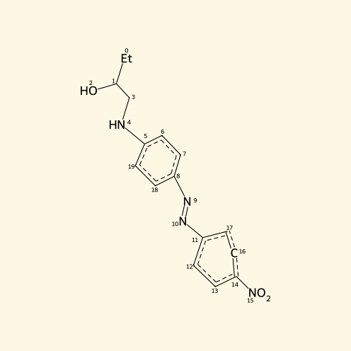 CCC(O)CNc1ccc(/N=N/c2ccc([N+](=O)[O-])cc2)cc1